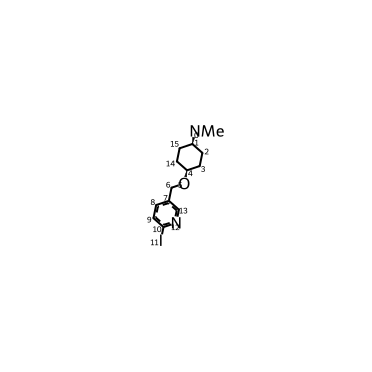 CN[C@H]1CC[C@@H](OCc2ccc(I)nc2)CC1